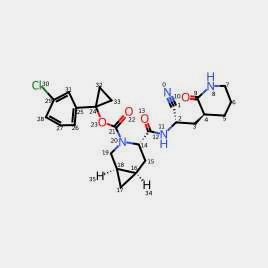 N#C[C@H](C[C@@H]1CCCNC1=O)NC(=O)[C@@H]1C[C@H]2C[C@H]2CN1C(=O)OC1(c2cccc(Cl)c2)CC1